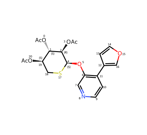 CC(=O)O[C@@H]1[C@@H](OC(C)=O)[C@@H](Oc2cnccc2-c2ccoc2)SC[C@H]1OC(C)=O